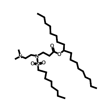 CCCCCCCCCC(CCCCCCCC)OC(=O)CCN(CCN(C)C)S(=O)(=O)CCCCCCCC